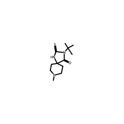 CN1CCC2(CC1)NC(=S)N(C(C)(C)C)C2=O